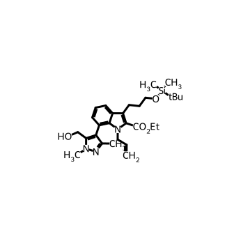 C=CCn1c(C(=O)OCC)c(CCCO[Si](C)(C)C(C)(C)C)c2cccc(-c3c(C)nn(C)c3CO)c21